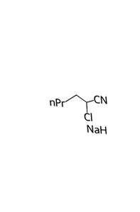 CCCCC(Cl)C#N.[NaH]